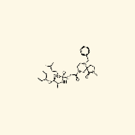 CCC(CC)OC(=O)C(C)NP(=O)(OCCC(C)C)OCC(=O)N1CCN(Cc2ccccc2)C2(CCN(C)C2=O)C1